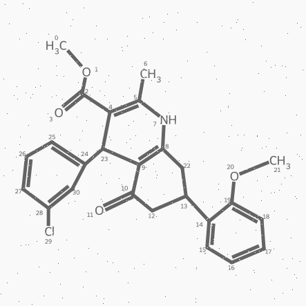 COC(=O)C1=C(C)NC2=C(C(=O)CC(c3ccccc3OC)C2)C1c1cccc(Cl)c1